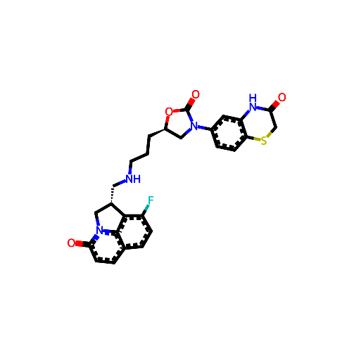 O=C1CSc2ccc(N3C[C@@H](CCCNC[C@H]4Cn5c(=O)ccc6ccc(F)c4c65)OC3=O)cc2N1